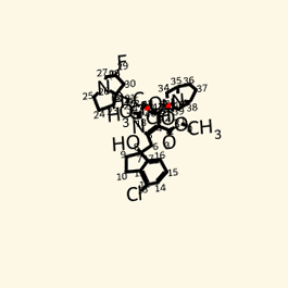 COC(=O)c1c(CC2(O)CCc3c(Cl)cccc32)nc(OC[C@@]23CCCN2C[C@H](F)C3)nc1N1CC2CCC(C1)N2C(=O)OC(C)(C)C